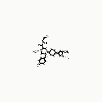 C#CCNC(=O)[C@H]1CN(C2CCC(c3cc(C)n(C)n3)CC2)[C@@H](Cc2ccc(Cl)cc2)CO1.Cl